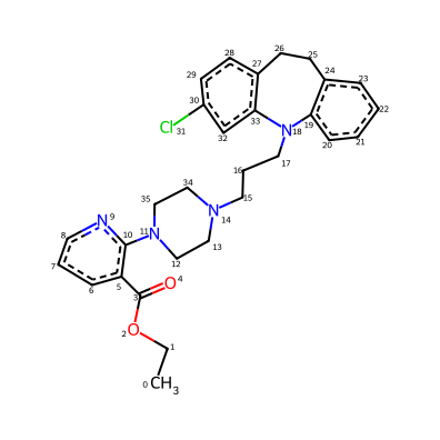 CCOC(=O)c1cccnc1N1CCN(CCCN2c3ccccc3CCc3ccc(Cl)cc32)CC1